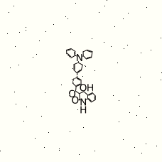 O=C1Nc2ccccc2C(O)C1C(=O)C1=CC=C(C2=CCC(N(c3ccccc3)C3C=CC=CC3)C=C2)CC1